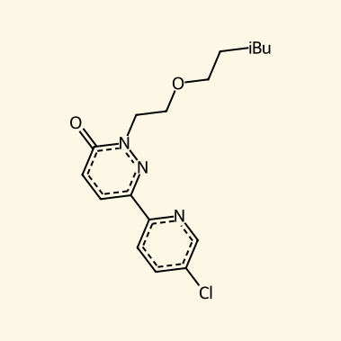 CCC(C)CCOCCn1nc(-c2ccc(Cl)cn2)ccc1=O